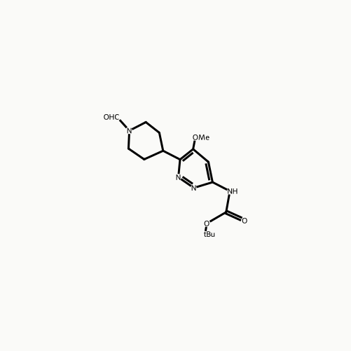 COc1cc(NC(=O)OC(C)(C)C)nnc1C1CCN(C=O)CC1